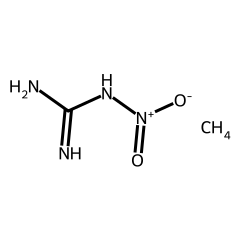 C.N=C(N)N[N+](=O)[O-]